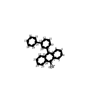 Brc1c2ccccc2c(-c2cccc(-c3ccccc3)c2)c2ccccc12